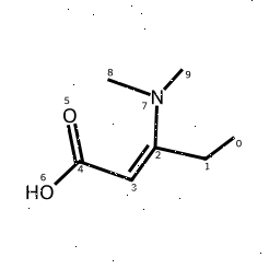 CCC(=CC(=O)O)N(C)C